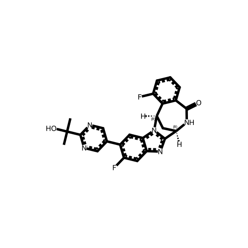 CC(C)(O)c1ncc(-c2cc3c(cc2F)nc2n3[C@@H]3C[C@H]2NC(=O)c2cccc(F)c23)cn1